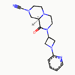 N#CN1CCN2CCN(C3CN(c4ccccn4)C3)C(=O)[C@H]2C1